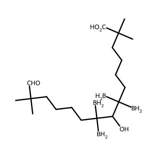 BC(B)(CCCCC(C)(C)C=O)C(O)C(B)(B)CCCCC(C)(C)C(=O)O